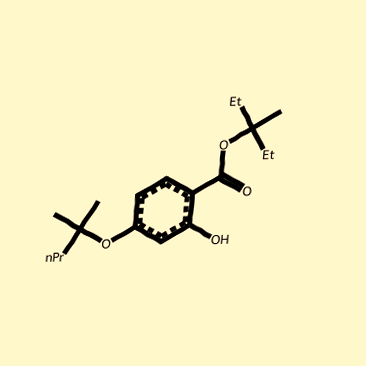 CCCC(C)(C)Oc1ccc(C(=O)OC(C)(CC)CC)c(O)c1